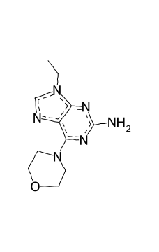 CCn1cnc2c(N3CCOCC3)nc(N)nc21